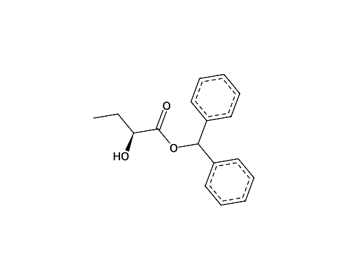 CC[C@H](O)C(=O)OC(c1ccccc1)c1ccccc1